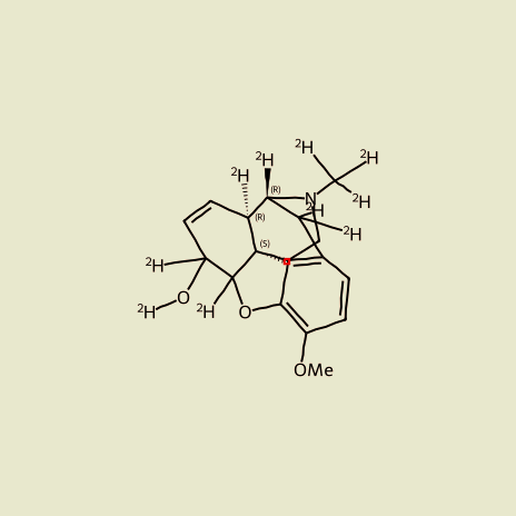 [2H]OC1([2H])C=C[C@]2([2H])[C@@]34CCN(C([2H])([2H])[2H])[C@]2([2H])C([2H])([2H])c2ccc(OC)c(c23)OC14[2H]